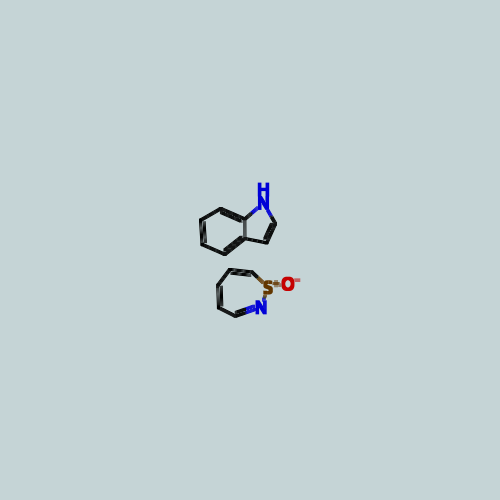 [O-][S+]1C=CC=CC=N1.c1ccc2[nH]ccc2c1